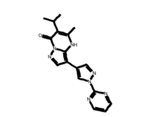 Cc1[nH]c2c(-c3cnn(-c4ncccn4)c3)cnn2c(=O)c1C(C)C